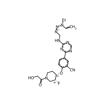 C=CN(CC)/N=N\CNc1ncnc(-c2ccc(O[C@H]3CCN(C(=O)CO)C[C@H]3F)c(C#N)c2)n1